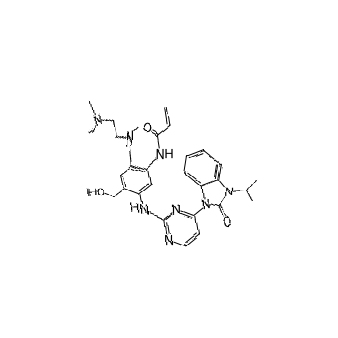 C=CC(=O)Nc1cc(Nc2nccc(-n3c(=O)n(C(C)C)c4ccccc43)n2)c(CO)cc1N(C)CCN(C)C